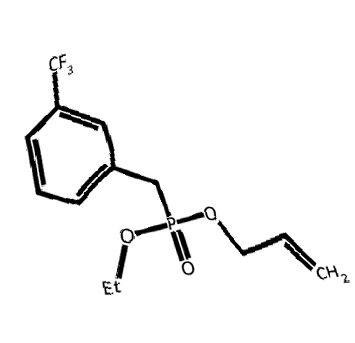 C=CCOP(=O)(Cc1cccc(C(F)(F)F)c1)OCC